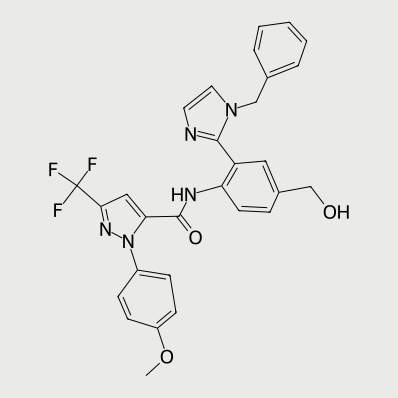 COc1ccc(-n2nc(C(F)(F)F)cc2C(=O)Nc2ccc(CO)cc2-c2nccn2Cc2ccccc2)cc1